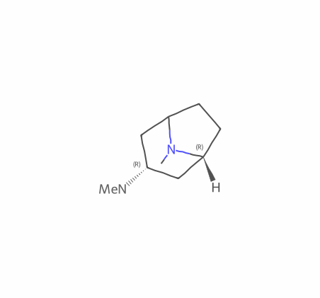 CN[C@@H]1CC2CC[C@H](C1)N2C